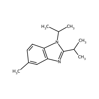 Cc1ccc2c(c1)nc(C(C)C)n2C(C)C